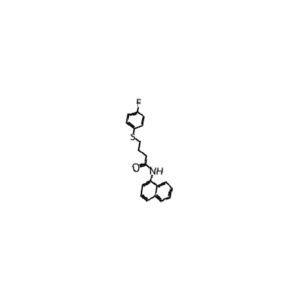 O=C(CCCSc1ccc(F)cc1)Nc1cccc2ccccc12